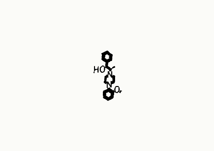 COc1ccccc1N1CCN([C@H](C)[C@H](O)c2ccccc2)CC1